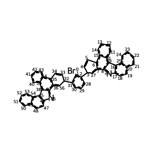 Brc1c(C2C=Cc3c(c4c(c5ccccc35)-c3c(ccc5ccccc35)N=4)=C2)cccc1C1C=Cc2c(c3c(c4ccccc24)-c2c(ccc4ccccc24)N=3)=C1